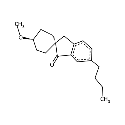 CCCCc1ccc2c(c1)C(=O)[C@]1(CC[C@H](OC)CC1)C2